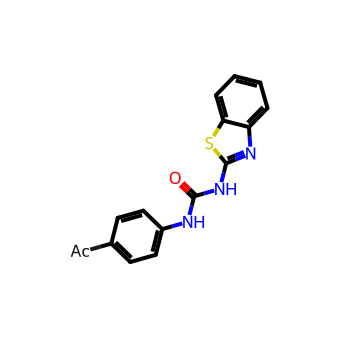 CC(=O)c1ccc(NC(=O)Nc2nc3ccccc3s2)cc1